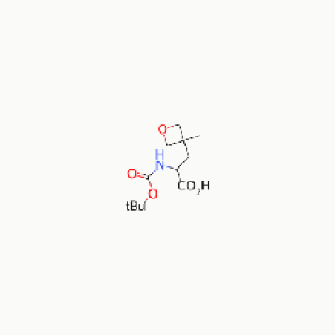 CC1(CC(NC(=O)OC(C)(C)C)C(=O)O)COC1